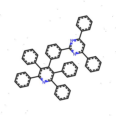 c1ccc(-c2cc(-c3ccccc3)nc(-c3cccc(-c4c(-c5ccccc5)c(-c5ccccc5)nc(-c5ccccc5)c4-c4ccccc4)c3)n2)cc1